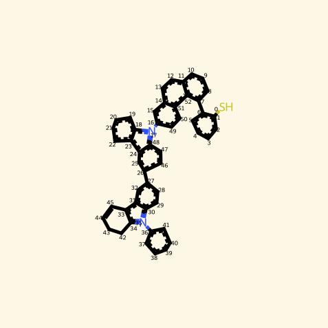 Sc1ccccc1-c1cccc2ccc3cc(-n4c5ccccc5c5cc(-c6ccc7c(c6)c6c(n7-c7ccccc7)CCC=C6)ccc54)ccc3c12